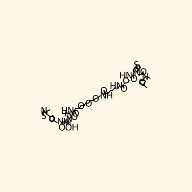 CCN(C(=O)Cn1c(C(=O)N[C@H]2CC[C@H](C(=O)NCCCCCC(=O)NCCOCCOCCOCCC(=O)N[C@@H](C(=O)N3C[C@@H](O)[C@H](C(=O)NCc4ccc(-c5scnc5C)cc4)C3)C(C)(C)C)CC2)cc2sccc21)c1cccc(C)c1